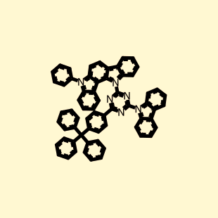 c1ccc(-n2c3ccccc3c3c2ccc2c4ccccc4n(-c4nc(-c5ccc(C(c6ccccc6)(c6ccccc6)c6ccccc6)cc5)nc(-n5c6ccccc6c6ccccc65)n4)c23)cc1